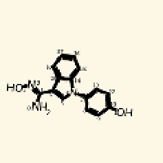 NC(=NO)c1cn(-c2ccc(O)cc2)c2ccccc12